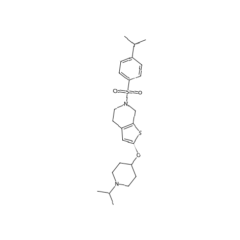 CC(C)c1ccc(S(=O)(=O)N2CCc3cc(OC4CCN(C(C)C)CC4)sc3C2)cc1